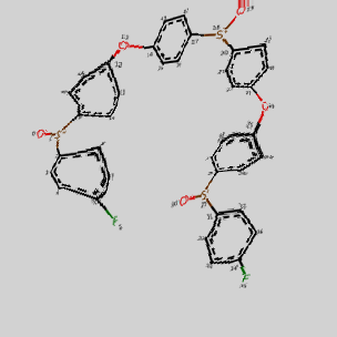 [O-][S+](c1ccc(F)cc1)c1ccc(Oc2ccc([S+]([O-])c3ccc(Oc4ccc([S+]([O-])c5ccc(F)cc5)cc4)cc3)cc2)cc1